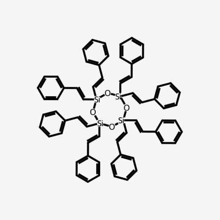 C(=C[Si]1(C=Cc2ccccc2)O[Si](C=Cc2ccccc2)(C=Cc2ccccc2)O[Si](C=Cc2ccccc2)(C=Cc2ccccc2)O[Si](C=Cc2ccccc2)(C=Cc2ccccc2)O1)c1ccccc1